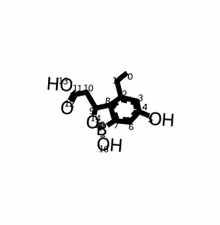 CCc1cc(O)cc2c1C(CC(=O)O)OB2O